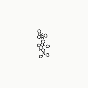 CC1(C)c2cc(N(c3ccccc3)c3ccccc3)ccc2-c2c(-c3ccccc3)c3ccc(N(c4ccccc4)c4cccc5c4oc4ccccc45)cc3c3cccc1c23